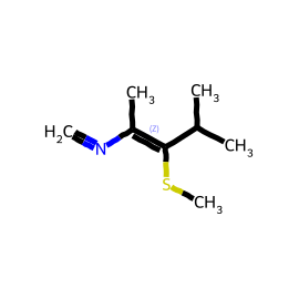 C=N/C(C)=C(\SC)C(C)C